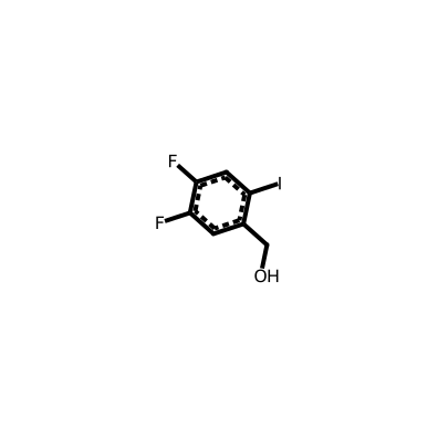 OCc1cc(F)c(F)cc1I